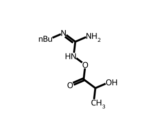 CCCCN=C(N)NOC(=O)C(C)O